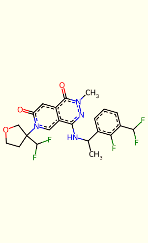 CC(Nc1nn(C)c(=O)c2cc(=O)n(C3(C(F)F)CCOC3)cc12)c1cccc(C(F)F)c1F